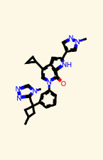 CC1CC(c2cccc(-n3cc(C4CC4)c4cc(-c5cnn(C)c5)[nH]c4c3=O)c2)(c2nncn2C)C1